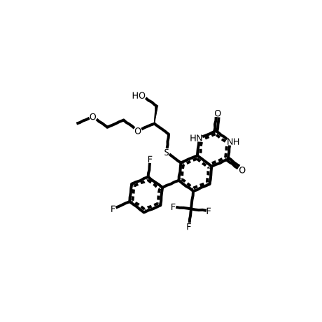 COCCO[C@@H](CO)CSc1c(-c2ccc(F)cc2F)c(C(F)(F)F)cc2c(=O)[nH]c(=O)[nH]c12